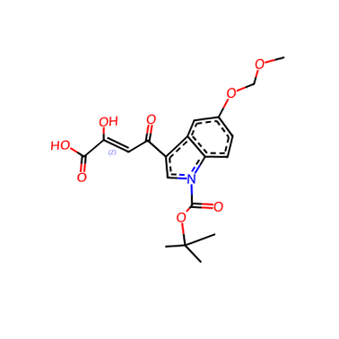 COCOc1ccc2c(c1)c(C(=O)/C=C(\O)C(=O)O)cn2C(=O)OC(C)(C)C